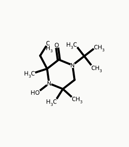 CCC1(C)C(=O)N(C(C)(C)C)CC(C)(C)N1O